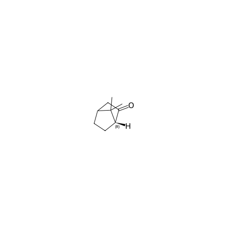 CC1(C)C2CC[C@H]1C(=O)C2